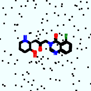 O=C(C[C@H]1NCCC[C@@H]1O)Cn1cnc2cccc(F)c2c1=O